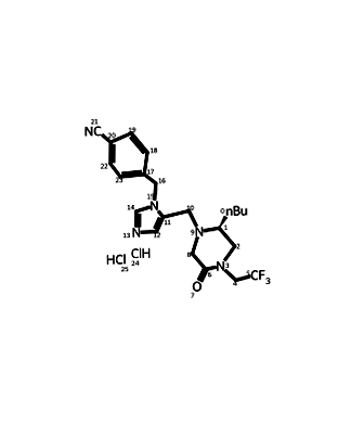 CCCC[C@H]1CN(CC(F)(F)F)C(=O)CN1Cc1cncn1Cc1ccc(C#N)cc1.Cl.Cl